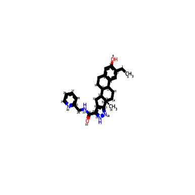 CCc1cc2c(cc1O)CCC1C2CC[C@]2(C)c3n[nH]c(C(=O)NCc4ccccn4)c3CC12